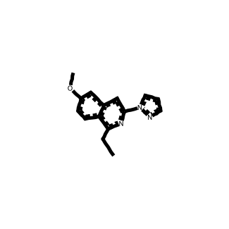 CCc1nc(-n2cccn2)cc2cc(OC)ccc12